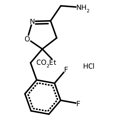 CCOC(=O)C1(Cc2cccc(F)c2F)CC(CN)=NO1.Cl